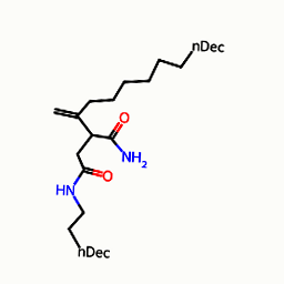 C=C(CCCCCCCCCCCCCCCC)C(CC(=O)NCCCCCCCCCCCC)C(N)=O